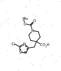 CC(C)(C)OC(=O)N1CCC(Cc2csc(Cl)n2)(C(=O)O)CC1